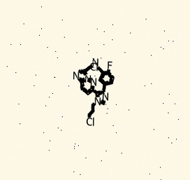 N#Cc1cnc2ccc(-c3c(-c4ccc(F)c(Cl)c4)ncn3CCCCl)nn12